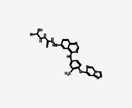 Cc1cc(Nc2ncnc3ccc(NNC(=S)NNC(O)C(C)C)cc23)ccc1Oc1cc2nccn2cn1